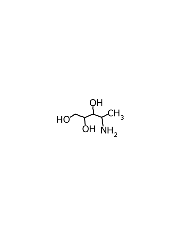 CC(N)C(O)C(O)CO